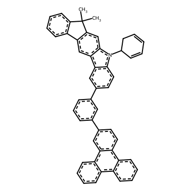 CC1(C)c2ccccc2-c2cc3c4cc(-c5cccc(-c6ccc7c8ccccc8c8ccccc8c7c6)c5)ccc4n(C4C=CC=CC4)c3cc21